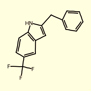 FC(F)(F)c1ccc2[nH]c(Cc3ccccc3)cc2c1